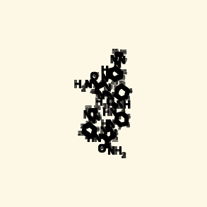 CC(NC1CCCC[C@H]1Nc1ncc(C(N)=O)c(Nc2cccc(-n3nccn3)c2)n1)N[C@H]1CCCC[C@H]1Nc1ncc(C(N)=O)c(Nc2cccc(-n3nccn3)c2)n1